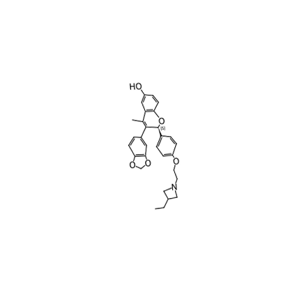 CCC1CN(CCOc2ccc([C@@H]3Oc4ccc(O)cc4C(C)=C3c3ccc4c(c3)OCO4)cc2)C1